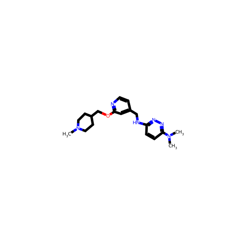 CN1CCC(COc2cc(CNc3ccc(N(C)C)nn3)ccn2)CC1